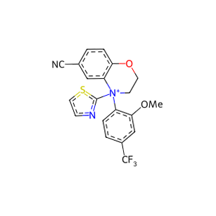 COc1cc(C(F)(F)F)ccc1[N+]1(c2nccs2)CCOc2ccc(C#N)cc21